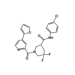 O=C(Nc1ccc(Cl)cc1)C1CN(C(=O)c2cc(-c3ccco3)ccn2)CC(F)(F)C1